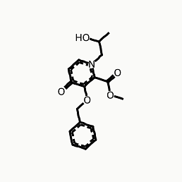 COC(=O)c1c(OCc2ccccc2)c(=O)ccn1CC(C)O